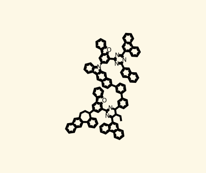 CCC1C(c2cc3ccccc3c3ccccc23)=NC(c2cc(C3CCc4cc5ccccc5cc4-c4ccccc43)cc3c2oc2ccccc23)=NC1c1cccc(-c2cccc(-c3ccc4cc5c6ccccc6n(-c6cc(-c7nc(-c8ccc9ccccc9c8)nc(-c8cc9ccccc9c9ccccc89)n7)c7oc8ccccc8c7c6)c5cc4c3)c2)c1